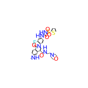 CNc1ccc2c(=O)n(-c3ccc(NC(=O)NS(=O)(=O)c4cccs4)cc3F)cc(C(=O)NCCN3CCOCC3)c2c1